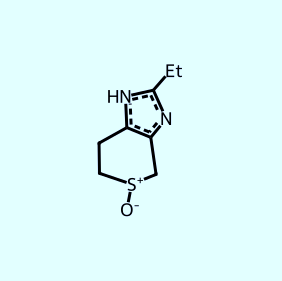 CCc1nc2c([nH]1)CC[S+]([O-])C2